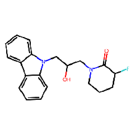 O=C1C(F)CCCN1CC(O)Cn1c2ccccc2c2ccccc21